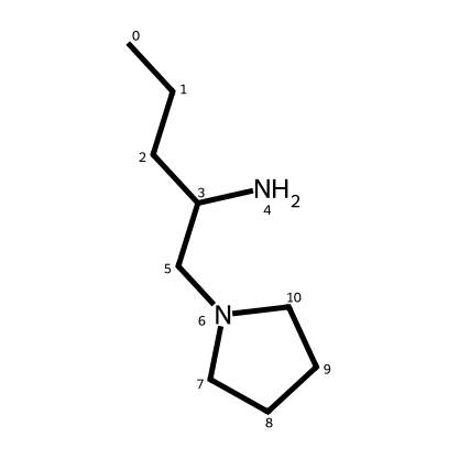 CCCC(N)CN1CCCC1